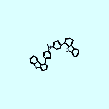 CN(c1ccc(-c2cccc3c2oc2ccccc23)cc1)c1ccc(-c2cccc3sc4ccccc4c23)cc1